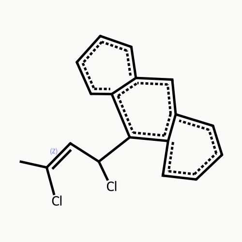 C/C(Cl)=C/C(Cl)c1c2ccccc2cc2ccccc12